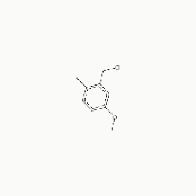 COc1ccc(C)c(CCl)c1